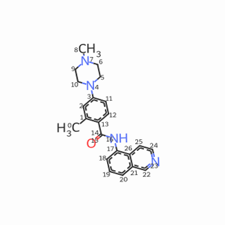 Cc1cc(N2CCN(C)CC2)ccc1C(=O)Nc1cccc2cnccc12